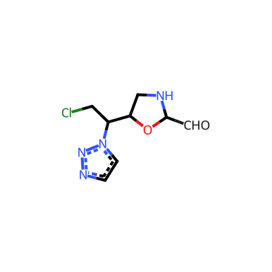 O=CC1NCC(C(CCl)n2ccnn2)O1